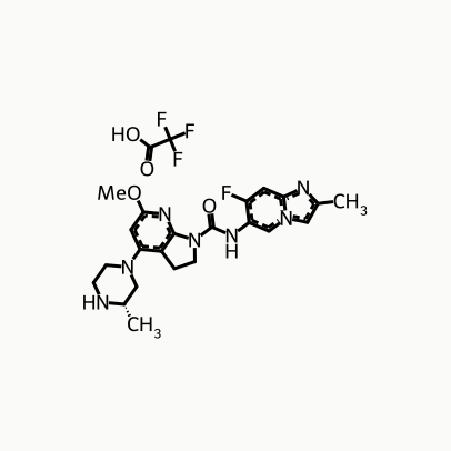 COc1cc(N2CCN[C@@H](C)C2)c2c(n1)N(C(=O)Nc1cn3cc(C)nc3cc1F)CC2.O=C(O)C(F)(F)F